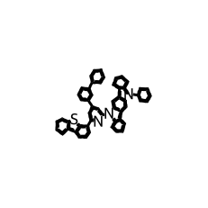 c1ccc(-c2cccc(-c3cc(-c4cccc5c4sc4ccccc45)nc(-n4c5ccccc5c5cc6c(cc54)c4ccccc4n6-c4ccccc4)c3)c2)cc1